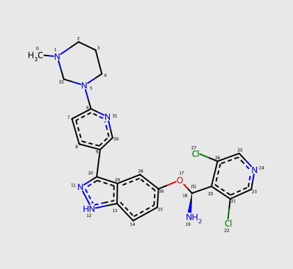 CN1CCCN(c2ccc(-c3n[nH]c4ccc(O[C@H](N)c5c(Cl)cncc5Cl)cc34)cn2)C1